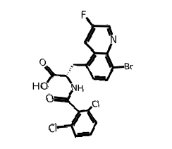 O=C(N[C@@H](Cc1ccc(Br)c2ncc(F)cc12)C(=O)O)c1c(Cl)cccc1Cl